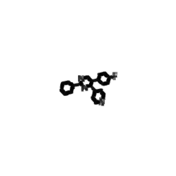 Fc1ccc(-c2cnc(-c3ccccc3)nc2-c2ccncc2)cc1